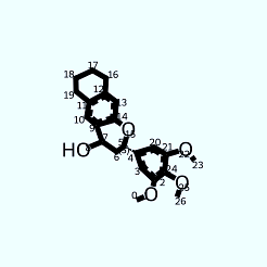 COc1cc([C@@H]2CC(O)c3cc4c(cc3O2)CCCC4)cc(OC)c1OC